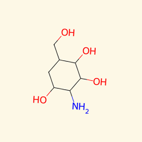 NC1C(O)CC(CO)C(O)C1O